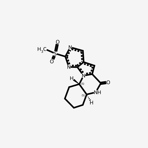 CS(=O)(=O)c1ncc2cc3n(c2n1)[C@H]1CCCC[C@@H]1NC3=O